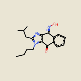 CCCCn1c(CC(C)C)nc2c1C(=O)c1ccccc1/C2=N\O